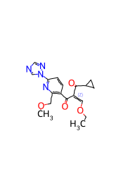 CCO/C=C(\C(=O)c1ccc(-n2cncn2)nc1COC)C(=O)C1CC1